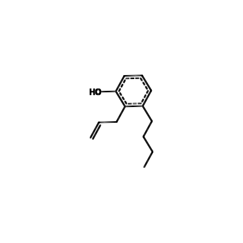 C=CCc1c(O)cccc1CCCC